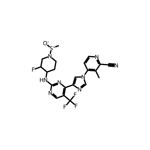 Cc1c(-n2cnc(-c3nc(NC4CCN([S+](C)[O-])CC4F)ncc3C(F)(F)F)c2)ccnc1C#N